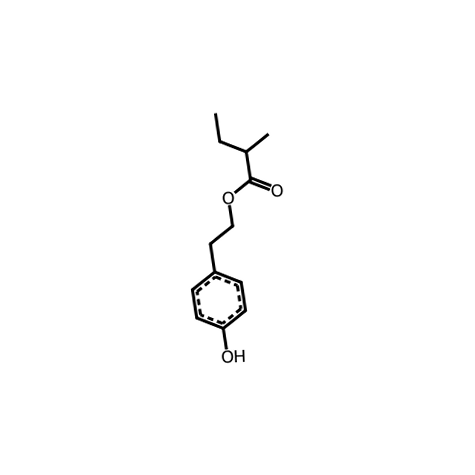 CCC(C)C(=O)OCCc1ccc(O)cc1